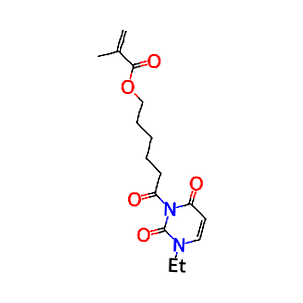 C=C(C)C(=O)OCCCCCC(=O)n1c(=O)ccn(CC)c1=O